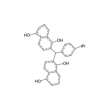 CC(C)c1ccc(C(c2ccc3c(O)cccc3c2O)c2ccc3c(O)cccc3c2O)cc1